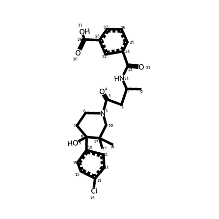 CC(CC(=O)N1CCC(O)(c2ccc(Cl)cc2)C(C)(C)C1)NC(=O)c1cccc(C(=O)O)c1